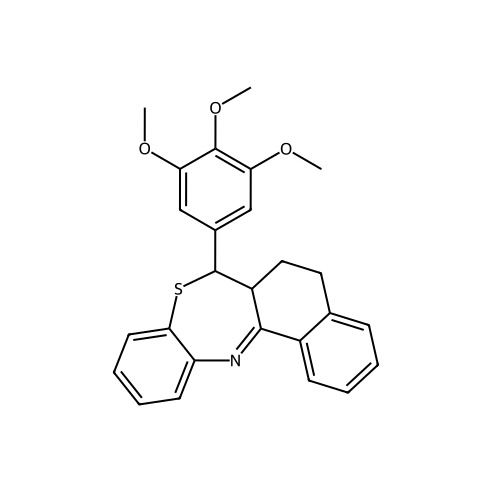 COc1cc(C2Sc3ccccc3N=C3c4ccccc4CCC32)cc(OC)c1OC